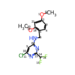 COc1ccc(CNc2cc(Cl)nc(C(F)F)n2)c(OC)c1